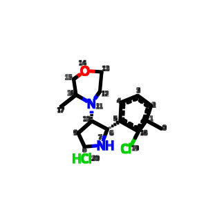 Cc1cccc([C@@H]2NCC[C@@H]2N2CCOCC2C)c1Cl.Cl